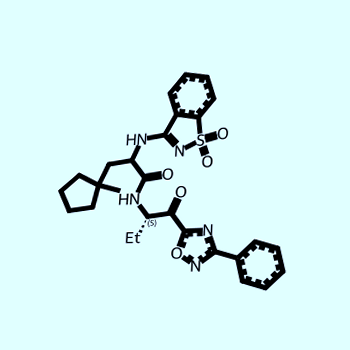 CC[C@H](NC(=O)C(CC1(C)CCCC1)NC1=NS(=O)(=O)c2ccccc21)C(=O)c1nc(-c2ccccc2)no1